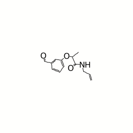 C=CCNC(=O)C(C)Oc1cccc(C=O)c1